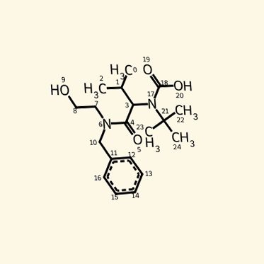 CC(C)C(C(=O)N(CCO)Cc1ccccc1)N(C(=O)O)C(C)(C)C